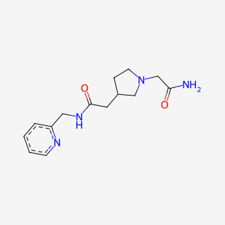 NC(=O)CN1CCC(CC(=O)NCc2ccccn2)C1